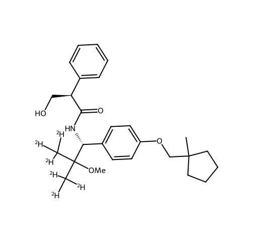 [2H]C([2H])([2H])C(OC)([C@H](NC(=O)[C@@H](CO)c1ccccc1)c1ccc(OCC2(C)CCCC2)cc1)C([2H])([2H])[2H]